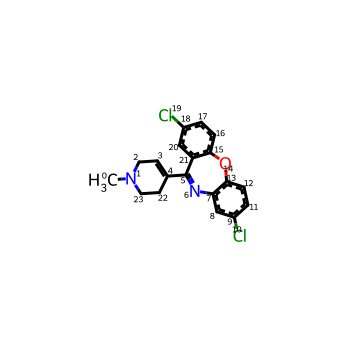 CN1CC=C(C2=Nc3cc(Cl)ccc3Oc3ccc(Cl)cc32)CC1